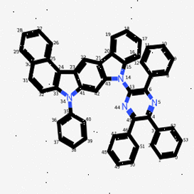 c1ccc(-c2nc(-c3ccccc3)c(-n3c4ccccc4c4cc5c6c7ccccc7ccc6n(-c6ccccc6)c5cc43)nc2-c2ccccc2)cc1